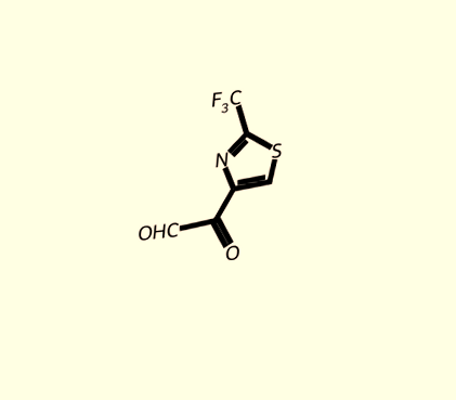 O=CC(=O)c1csc(C(F)(F)F)n1